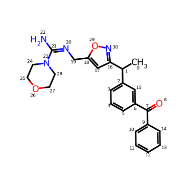 CC(c1cccc(C(=O)c2ccccc2)c1)c1cc(CN=C(N)N2CCOCC2)on1